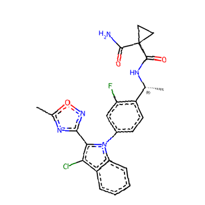 Cc1nc(-c2c(Cl)c3ccccc3n2-c2ccc([C@@H](C)NC(=O)C3(C(N)=O)CC3)c(F)c2)no1